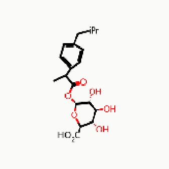 CC(C)Cc1ccc(C(C)C(=O)O[C@@H]2O[C@H](C(=O)O)[C@@H](O)[C@H](O)[C@H]2O)cc1